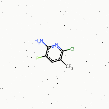 Nc1nc(Cl)c(C(F)(F)F)cc1F